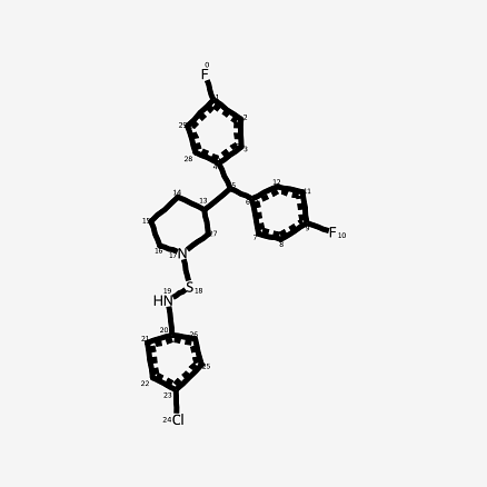 Fc1ccc(C(c2ccc(F)cc2)C2CCCN(SNc3ccc(Cl)cc3)C2)cc1